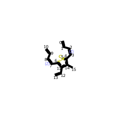 C=C/C=C\c1sc(/C=C\C=C)c(C=C)c1C